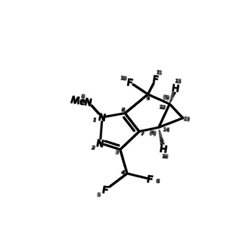 CNn1nc(C(F)F)c2c1C(F)(F)[C@H]1C[C@@H]21